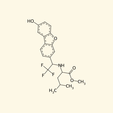 COC(=O)C(CC(C)C)NC(c1ccc2c(c1)oc1ccc(O)cc12)C(F)(F)F